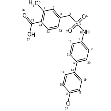 Cc1cc(CS(=O)(=O)Nc2ccc(-c3ccc(Cl)cc3)cc2)ccc1C(=O)O